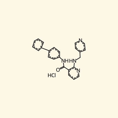 Cl.O=C(Nc1ccc(-c2ccccc2)cc1)c1cccnc1NCc1ccncc1